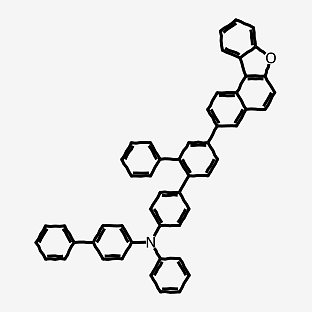 c1ccc(-c2ccc(N(c3ccccc3)c3ccc(-c4ccc(-c5ccc6c(ccc7oc8ccccc8c76)c5)cc4-c4ccccc4)cc3)cc2)cc1